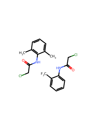 Cc1cccc(C)c1NC(=O)CCl.O=C(CCl)Nc1ccccc1C(F)(F)F